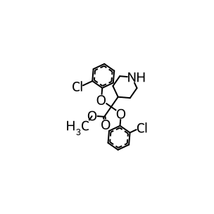 COC(=O)C(Oc1ccccc1Cl)(Oc1ccccc1Cl)C1CCNCC1